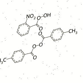 Cc1ccc(C(=O)OOC(=O)c2ccc(C)cc2)cc1.O=C(OO)c1ccccc1[N+](=O)[O-]